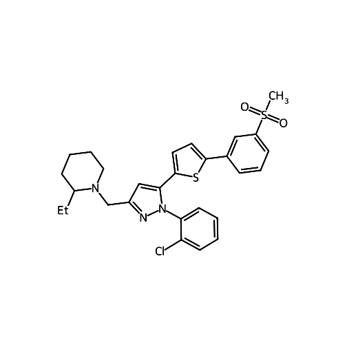 CCC1CCCCN1Cc1cc(-c2ccc(-c3cccc(S(C)(=O)=O)c3)s2)n(-c2ccccc2Cl)n1